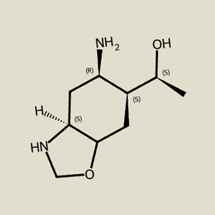 C[C@H](O)[C@H]1CC2OCN[C@H]2C[C@H]1N